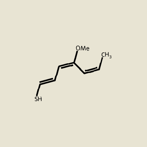 C\C=C/C(=C\C=C\S)OC